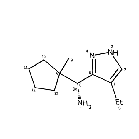 CCc1c[nH]nc1[C@H](N)C1(C)CCCC1